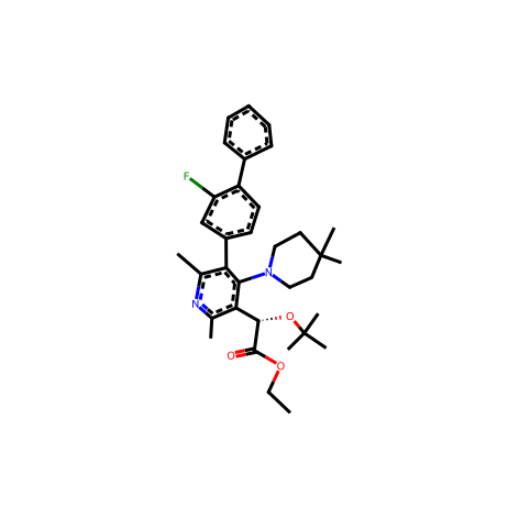 CCOC(=O)[C@@H](OC(C)(C)C)c1c(C)nc(C)c(-c2ccc(-c3ccccc3)c(F)c2)c1N1CCC(C)(C)CC1